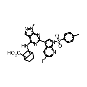 Cc1ccc(S(=O)(=O)n2cc(-c3nc(NC4C5CCC(CC5)C4C(=O)O)c4cnn(C)c4n3)c3cc(F)cnc32)cc1